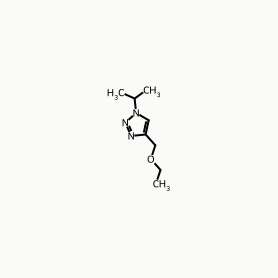 CCOCc1cn(C(C)C)nn1